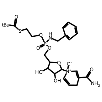 CC(C)(C)C(=O)SCCOP(=O)(NCc1ccccc1)OCC1OC([N+]2([O-])C=CCC(C(N)=O)=C2)C(O)C1O